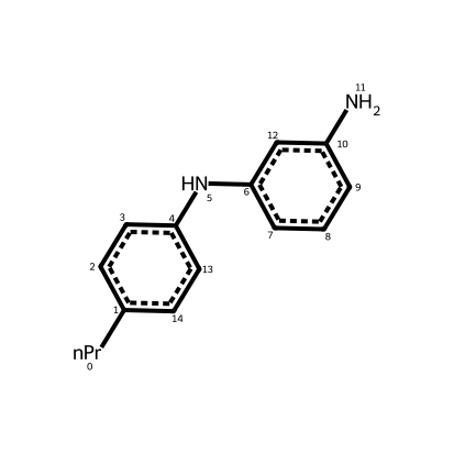 CCCc1ccc(Nc2cccc(N)c2)cc1